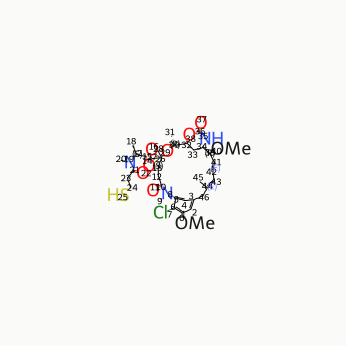 COc1cc2cc(c1Cl)N(C)C(=O)C[C@H](OC(=O)[C@H](C)N(C)C(=O)CCS)C(C)(C)O[C@H](C)C1CC(NC(=O)O1)[C@H](OC)/C=C/C=C(\C)C2